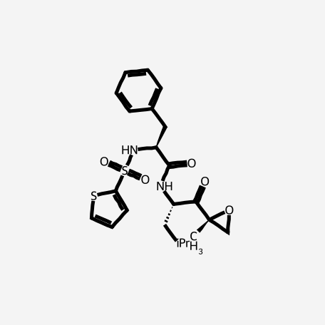 CC(C)C[C@H](NC(=O)[C@H](Cc1ccccc1)NS(=O)(=O)c1cccs1)C(=O)[C@@]1(C)CO1